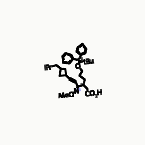 CO/N=C(\C#CC1CC(CC(C)C)C1)[C@@H](CCCO[Si](c1ccccc1)(c1ccccc1)C(C)(C)C)CC(=O)O